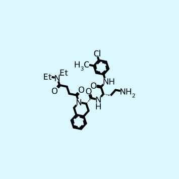 CCN(CC)C(=O)CCC(=O)N1Cc2ccccc2C[C@H]1C(=O)N[C@@H](CCN)C(=O)Nc1ccc(Cl)c(C)c1